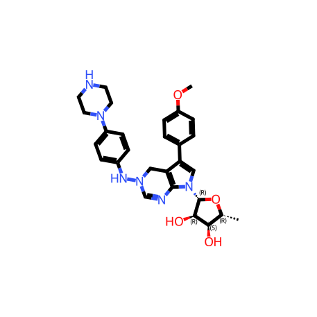 COc1ccc(-c2cn([C@@H]3O[C@H](C)[C@@H](O)[C@H]3O)c3c2CN(Nc2ccc(N4CCNCC4)cc2)C=N3)cc1